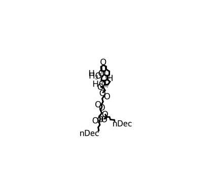 CCCCCCCCCCCCCC(=O)OCC(COC(=O)CCC(=O)OCC(=O)[C@H]1CCC2[C@@H]3CCC4=CC(=O)C=C[C@]4(C)C3C(O)C[C@@]21O)OC(=O)CCCCCCCCCCCCC